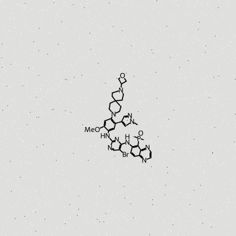 COc1cc(N2CCC3(CC2)CCN(C2COC2)CC3)c(-c2cnn(C)c2)cc1Nc1ncc(Br)c(Nc2ccc3nccnc3c2P(C)(C)=O)n1